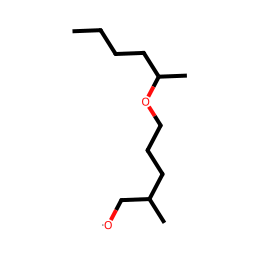 CCCCC(C)OCCCC(C)C[O]